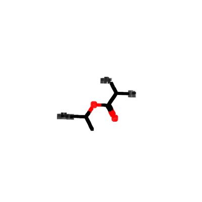 CCCCCCC(C)OC(=O)C(CC)CCC